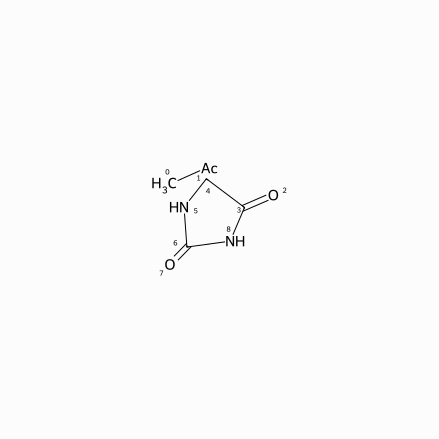 CC(C)=O.O=C1CNC(=O)N1